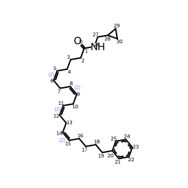 O=C(CCC/C=C\C/C=C\C/C=C\C/C=C\CCCCc1ccccc1)NCC1CC1